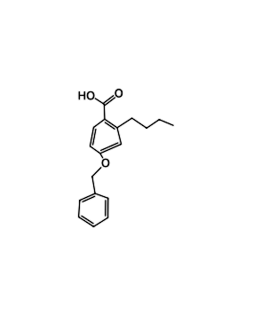 CCCCc1cc(OCc2ccccc2)ccc1C(=O)O